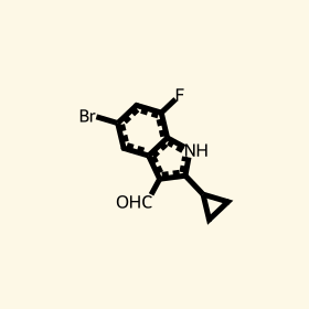 O=Cc1c(C2CC2)[nH]c2c(F)cc(Br)cc12